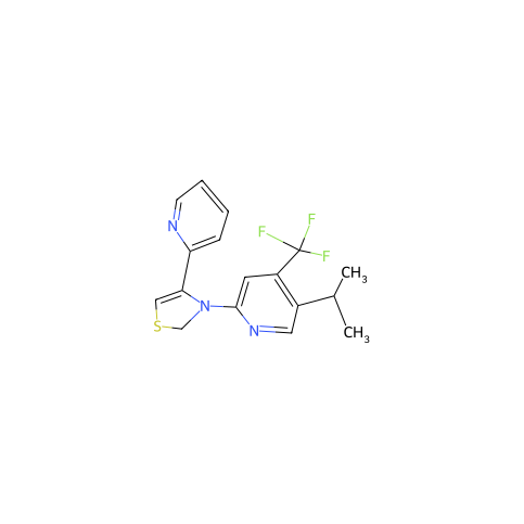 CC(C)c1cnc(N2CSC=C2c2ccccn2)cc1C(F)(F)F